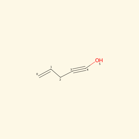 C=CCC#CO